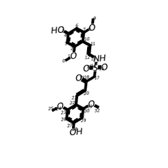 COc1cc(O)cc(OC)c1C=CNS(=O)(=O)CC(=O)C=Cc1c(OC)cc(O)cc1OC